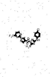 Nc1nc(Nc2ccc(Cl)cc2)nn1S(=O)(=O)c1cnn(-c2nccc(C(F)(F)F)n2)c1